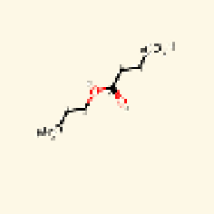 COCCOC(=O)CCC(=O)O